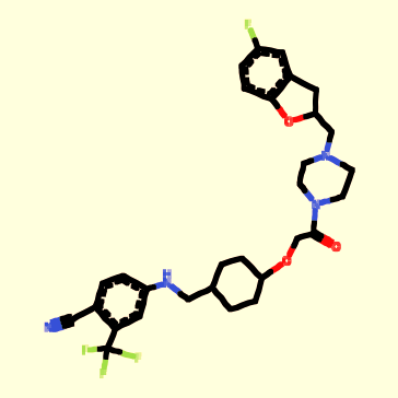 N#Cc1ccc(NCC2CCC(OCC(=O)N3CCN(CC4Cc5cc(F)ccc5O4)CC3)CC2)cc1C(F)(F)F